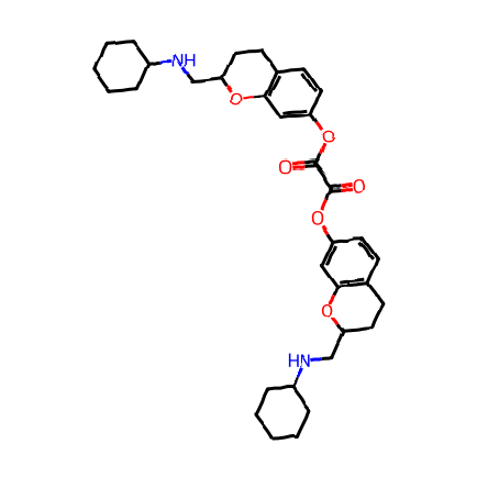 O=C(Oc1ccc2c(c1)OC(CNC1CCCCC1)CC2)C(=O)Oc1ccc2c(c1)OC(CNC1CCCCC1)CC2